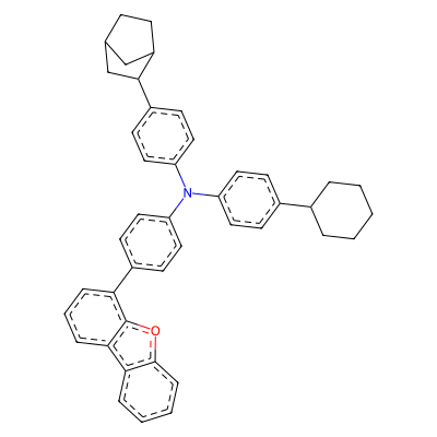 c1ccc2c(c1)oc1c(-c3ccc(N(c4ccc(C5CCCCC5)cc4)c4ccc(C5CC6CCC5C6)cc4)cc3)cccc12